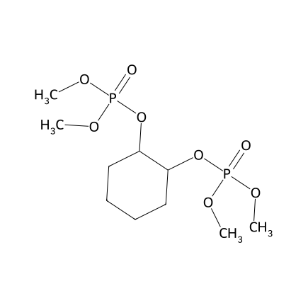 COP(=O)(OC)OC1CCCCC1OP(=O)(OC)OC